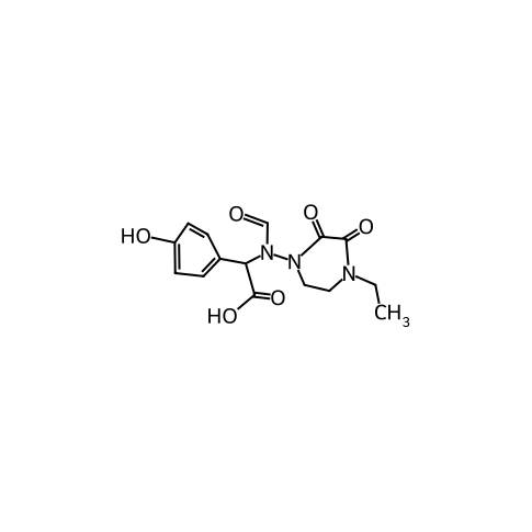 CCN1CCN(N(C=O)C(C(=O)O)c2ccc(O)cc2)C(=O)C1=O